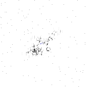 C=C(C)[C@H](C)C[C@H]1CC[C@@H]2O[C@@H](CCC(/C=C/[C@H](O[Si](C)(C)C(C)(C)C)[C@@H]3O[C@H]4CC[C@H](CCC)O[C@@H]4[C@H](O[Si](C)(C)C(C)(C)C)[C@@H]3O[Si](C)(C)C(C)(C)C)OC(=O)c3ccccc3)C[C@]2(CI)O1